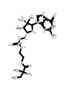 CCC(C)(C)C(=O)SCCO[PH](=O)OC[C@H]1OC(n2cnc3c(=O)[nH]c(N)nc32)[C@@](C)(O)[C@H]1O